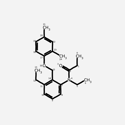 CCC(=O)N(CC)c1cccc(CC)c1COc1ccc(C)cc1C